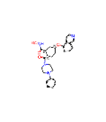 O=C(NO)[C@H]1C[C@H](Oc2cccc3cnccc23)CC[C@@H]1C(=O)N1CCN(c2ccccc2)CC1